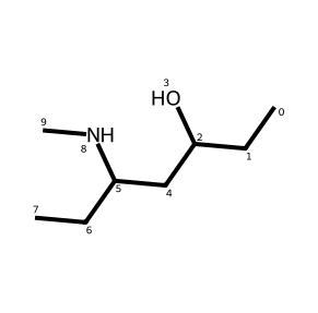 CCC(O)CC(CC)NC